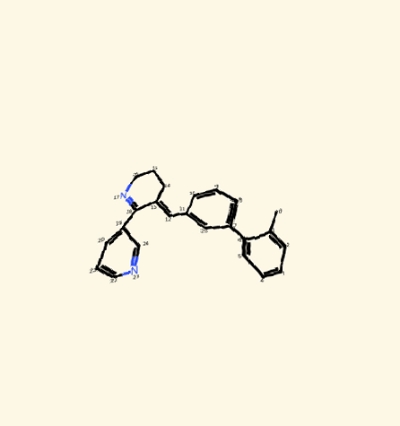 Cc1ccccc1-c1cccc(C=C2CCCN=C2c2cccnc2)c1